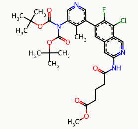 COC(=O)CCCC(=O)Nc1cc2cc(-c3cncc(N(C(=O)OC(C)(C)C)C(=O)OC(C)(C)C)c3C)c(F)c(Cl)c2cn1